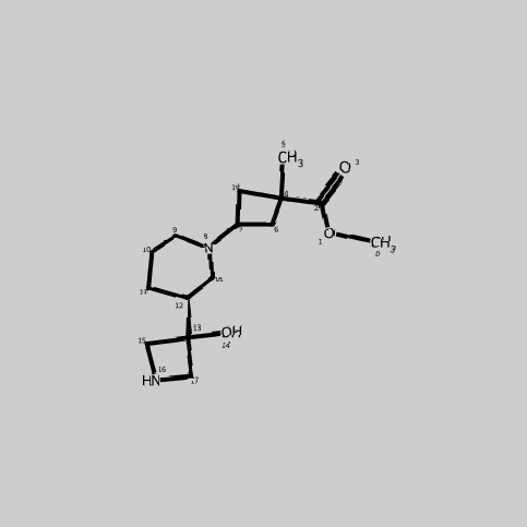 COC(=O)C1(C)CC(N2CCC[C@H](C3(O)CNC3)C2)C1